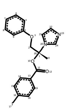 C[C@](COc1ccccc1)(OC(=O)c1ccc(I)cc1)n1ccnc1